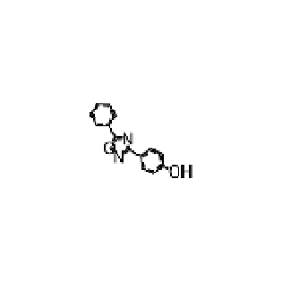 Oc1ccc(-c2noc(-c3ccccc3)n2)cc1